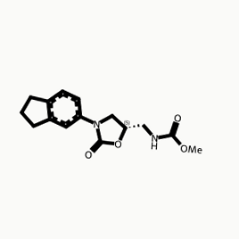 COC(=O)NC[C@H]1CN(c2ccc3c(c2)CCC3)C(=O)O1